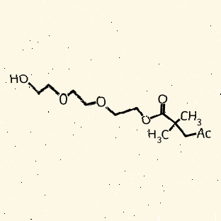 CC(=O)CC(C)(C)C(=O)OCCOCCOCCO